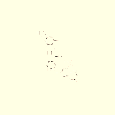 CC1=CC2=CC(Cc3cc(C(=O)NCc4c(C)cc(N)nc4C)ccn3)=CC(S(C)(=O)=O)C2N=C1